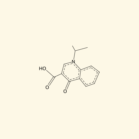 CC(C)n1cc(C(=O)O)c(=O)c2ccccc21